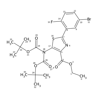 CCOC(=O)c1nc(-c2cc(Br)ccc2F)sc1N(C(=O)OC(C)(C)C)C(=O)OC(C)(C)C